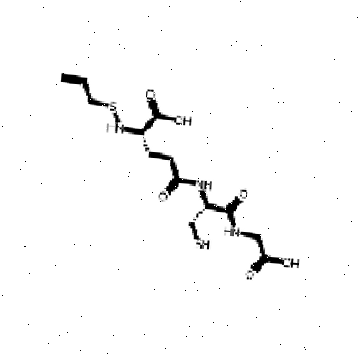 C=CCSN[C@@H](CCC(=O)N[C@@H](CS)C(=O)NCC(=O)O)C(=O)O